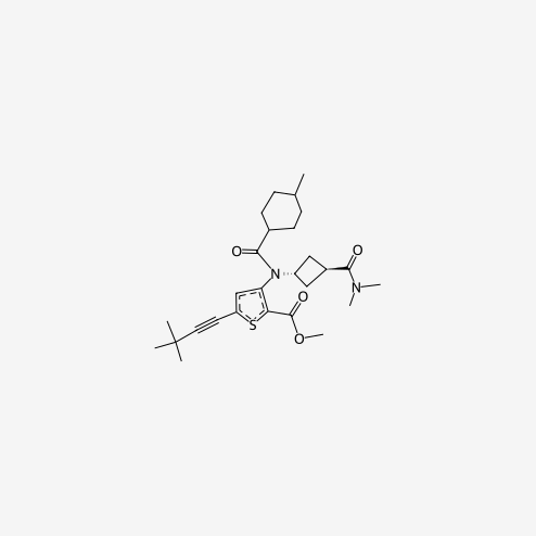 COC(=O)c1sc(C#CC(C)(C)C)cc1N(C(=O)C1CCC(C)CC1)[C@H]1C[C@H](C(=O)N(C)C)C1